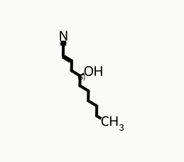 CCCCCC[C@H](O)CC=CC#N